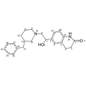 O=C1CCc2cc(C(O)CN3CCCC(Cc4ccccc4)C3)ccc2N1